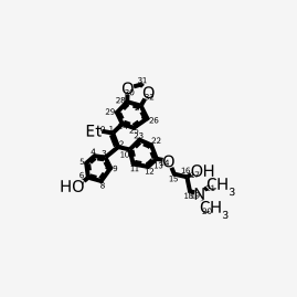 CCC(=C(c1ccc(O)cc1)c1ccc(OCC(O)CN(C)C)cc1)c1ccc2c(c1)OCO2